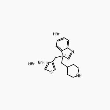 Br.Br.Br.C1=Nc2ccccc2[N+]1(Cc1cscn1)CC1CCNCC1